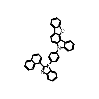 c1ccc2c(-c3nc4ccccc4n3-c3ccc(-n4c5ccccc5c5c6oc7ccccc7c6ccc54)cc3)cccc2c1